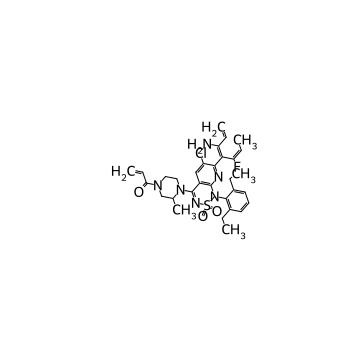 C=CC(=O)N1CCN(C2=NS(=O)(=O)N(c3c(CC)cccc3CC)c3nc(C(/C(F)=C\C)=C(\N)C=C)c(Cl)cc32)C(C)C1